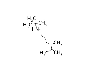 CC(C)C(C)CCCCNC(C)(C)C